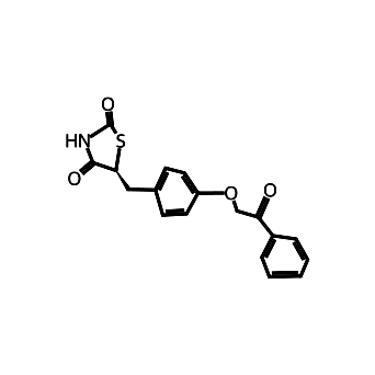 O=C1NC(=O)[C@H](Cc2ccc(OCC(=O)c3ccccc3)cc2)S1